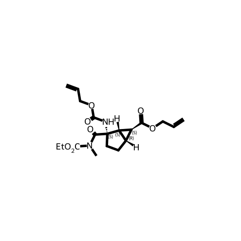 C=CCOC(=O)N[C@@]1(C(=O)N(C)C(=O)OCC)CC[C@H]2[C@H](C(=O)OCC=C)[C@H]21